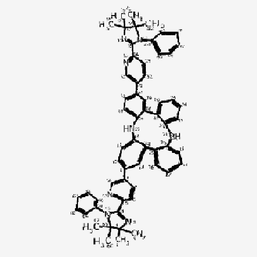 CC1(C)N=C(c2ccc(-c3ccc4c(c3)-c3ccccc3Bc3ccccc3-c3cc(-c5ccc(C6=NC(C)(C)C(C)(C)N6c6ccccc6)nc5)ccc3N4)cn2)N(c2ccccc2)C1(C)C